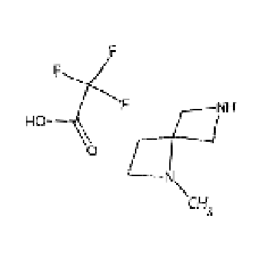 CN1CCC12CNC2.O=C(O)C(F)(F)F